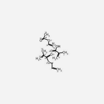 C=C(C)C(=O)O.C=CCOC(=O)C(=C)C.C=COC(C)=O